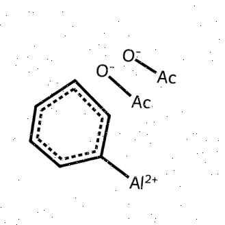 CC(=O)[O-].CC(=O)[O-].[Al+2][c]1ccccc1